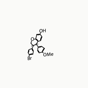 COc1ccc([C@@H]2c3ccc(O)cc3OC[C@@H]2c2ccc(Br)cc2)cc1